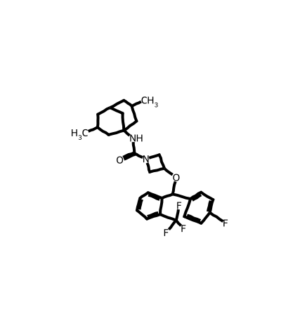 CC1CC2CC(C)CC(NC(=O)N3CC(OC(c4ccc(F)cc4)c4ccccc4C(F)(F)F)C3)(C1)C2